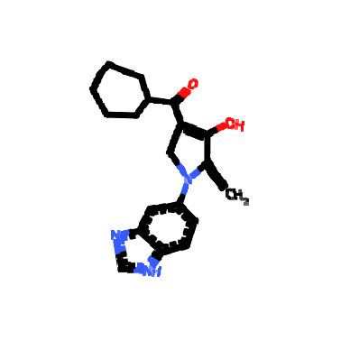 C=C1C(O)=C(C(=O)C2CCCCC2)CN1c1ccc2[nH]cnc2c1